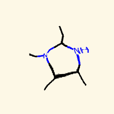 CC1NC(C)N(C)C1C